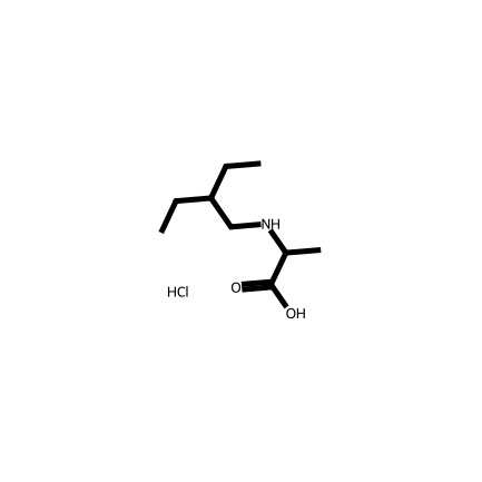 CCC(CC)CNC(C)C(=O)O.Cl